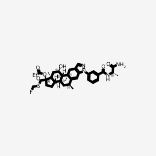 CCC(=O)O[C@]1(C(=O)SCF)CC[C@H]2[C@@H]3C[C@H](C)C4=Cc5c(cnn5-c5cccc(C(=O)N[C@@H](C)C(N)=O)c5)C[C@]4(C)[C@H]3[C@@H](O)C[C@@]21C